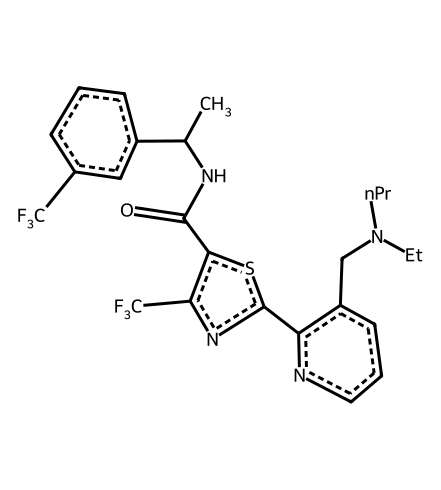 CCCN(CC)Cc1cccnc1-c1nc(C(F)(F)F)c(C(=O)NC(C)c2cccc(C(F)(F)F)c2)s1